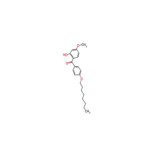 CCCCCCCCOc1ccc(C(=O)c2ccc(OC)cc2O)cc1